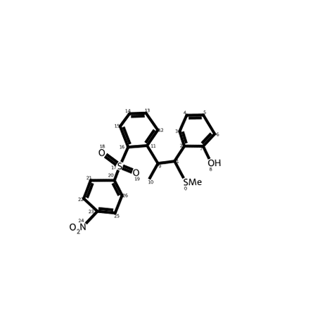 CSC(c1ccccc1O)C(C)c1ccccc1S(=O)(=O)c1ccc([N+](=O)[O-])cc1